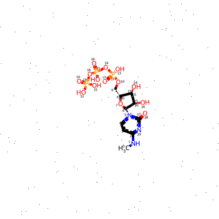 CNc1ccn([C@@H]2O[C@H](COP(=O)(O)OP(=O)(O)OP(=O)(O)O)[C@@H](O)[C@H]2O)c(=O)n1